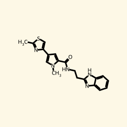 Cc1nc(-c2cc(C(=O)NCCc3nc4ccccc4[nH]3)n(C)c2)cs1